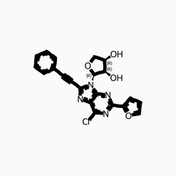 O[C@@H]1[C@H](O)CO[C@H]1n1c(C#Cc2ccccc2)nc2c(Cl)nc(-c3ccco3)nc21